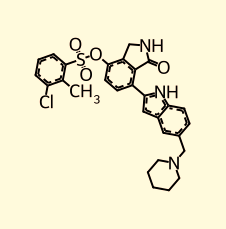 Cc1c(Cl)cccc1S(=O)(=O)Oc1ccc(-c2cc3cc(CN4CCCCC4)ccc3[nH]2)c2c1CNC2=O